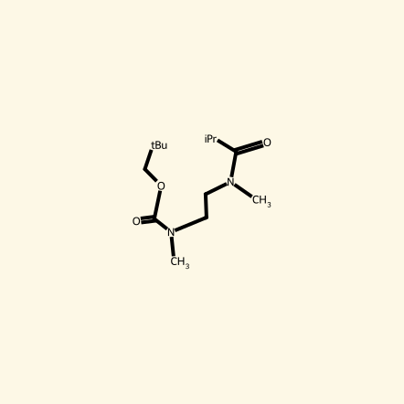 CC(C)C(=O)N(C)CCN(C)C(=O)OCC(C)(C)C